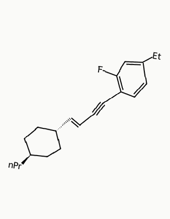 CCC[C@H]1CC[C@H](/C=C/C#Cc2ccc(CC)cc2F)CC1